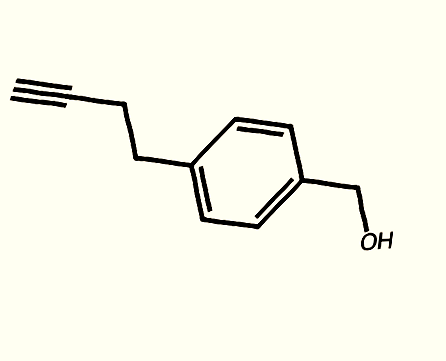 C#CCCc1ccc(CO)cc1